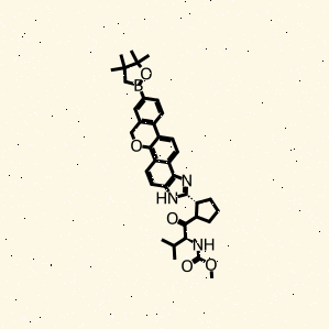 COC(=O)N[C@H](C(=O)C1CCC[C@H]1c1nc2c(ccc3c4c(ccc32)-c2ccc(B3CC(C)(C)C(C)(C)O3)cc2CO4)[nH]1)C(C)C